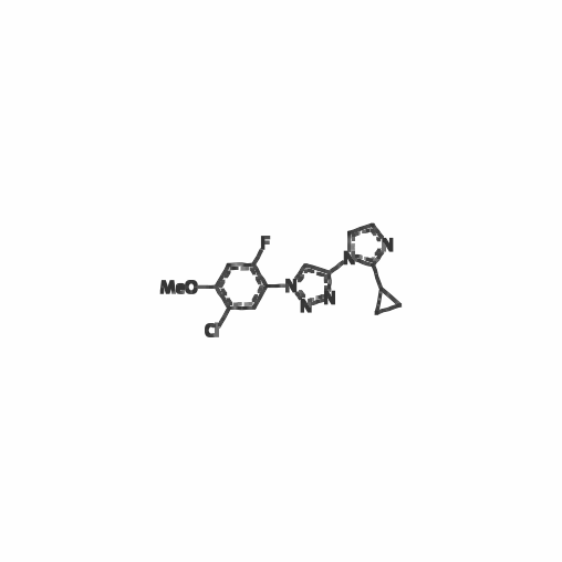 COc1cc(F)c(-n2cc(-n3ccnc3C3CC3)nn2)cc1Cl